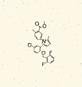 COC(=O)c1cc(-n2c(C)ccc2-c2cc(Cl)ccc2OCc2c(F)cccc2F)ccc1C